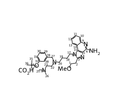 COCCc1nc2c(N)nc3ccccc3c2n1CCCCN(CCN(C)C)Cc1cccc(OC(C)(C)C(=O)O)c1